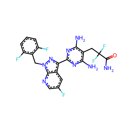 NC(=O)C(F)(F)Cc1c(N)nc(-c2nn(Cc3c(F)cccc3F)c3ncc(F)cc23)nc1N